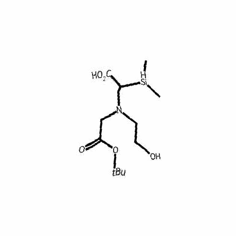 C[SiH](C)C(C(=O)O)N(CCO)CC(=O)OC(C)(C)C